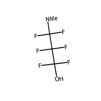 CNC(F)(F)C(F)(F)C(O)(F)F